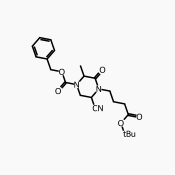 CC1C(=O)N(CCCC(=O)OC(C)(C)C)C(C#N)CN1C(=O)OCc1ccccc1